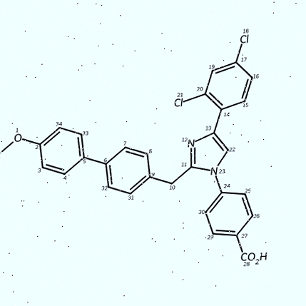 CCOc1ccc(-c2ccc(Cc3nc(-c4ccc(Cl)cc4Cl)cn3-c3ccc(C(=O)O)cc3)cc2)cc1